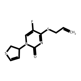 C=CCSc1nc(=O)n(C2C=CSC2)cc1F